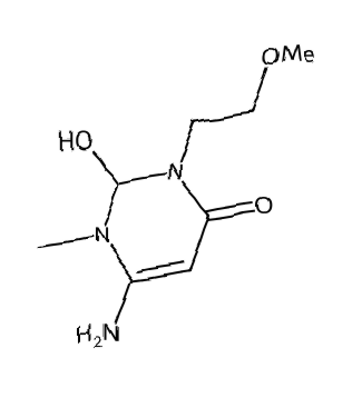 COCCN1C(=O)C=C(N)N(C)C1O